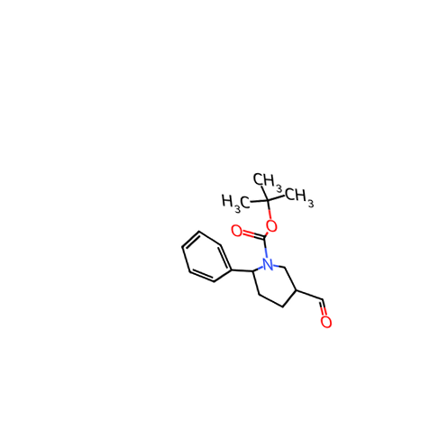 CC(C)(C)OC(=O)N1CC(C=O)CCC1c1ccccc1